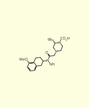 CCCN(C(=O)CN1CCN(C(=O)O)C(C(C)(C)C)C1)C1CCc2c(cccc2OC)C1